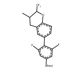 CCCCCc1cc(F)c(-c2ccc3c(c2)CC(C)C(C(F)(F)F)O3)c(F)c1